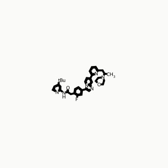 CC(Cc1cccc(-c2ccn3c(-c4ccc(CC(=O)Nc5cc(C(C)(C)C)ccn5)c(F)c4)cnc3c2)n1)N1CCOCC1